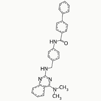 CN(C)c1nc(NCc2ccc(NC(=O)c3ccc(-c4ccccc4)cc3)cc2)nc2ccccc12